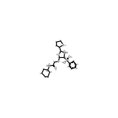 O=C(CSC1OC(C2CCCS2)NC1S(=O)(=O)c1ccccc1)NC1CCCCC1